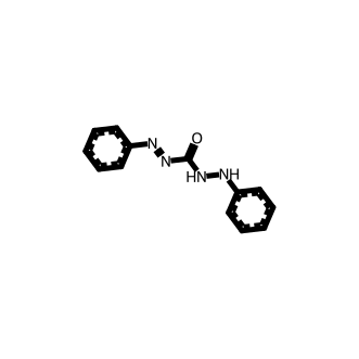 O=C(N=Nc1ccccc1)NNc1ccccc1